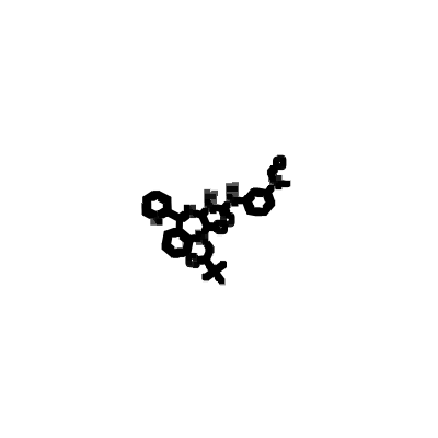 CN(C=O)c1cccc(NC(=O)NC2N=C(c3ccccn3)c3ccccc3N(CC(=O)C(C)(C)C)C2=O)c1